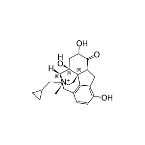 C[N@+]1(CC2CC2)CC[C@]23c4c5ccc(O)c4CC2C(=O)C(O)C[C@@]3(O)[C@H]1C5